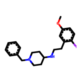 COc1ccc(I)c(CCNC2CCN(Cc3ccccc3)CC2)c1